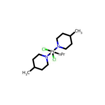 CC[CH2][Pt]([Cl])([Cl])([N]1CCC(C)CC1)[N]1CCC(C)CC1